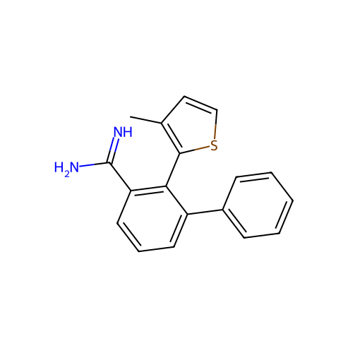 Cc1ccsc1-c1c(C(=N)N)cccc1-c1ccccc1